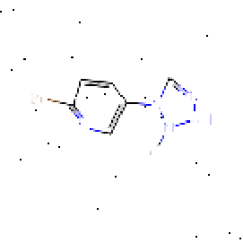 CN1NN=CN1c1ccc(Br)nc1